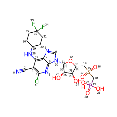 N#Cc1c(Cl)nc2c(ncn2[C@@H]2O[C@H](CS(=O)(=O)CP(=O)(O)O)[C@@H](O)[C@H]2O)c1NC1CCC(F)(F)CC1